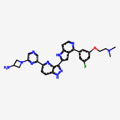 CN(C)CCOc1cc(F)cc(-c2nccc3[nH]c(-c4n[nH]c5ccc(-c6cncc(N7CC(N)C7)n6)nc45)cc23)c1